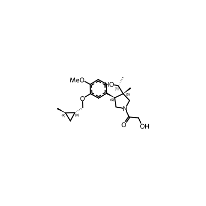 COc1ccc([C@@H]2CN(C(=O)CO)C[C@@]2(C)[C@@H](C)O)cc1OC[C@@H]1C[C@H]1C